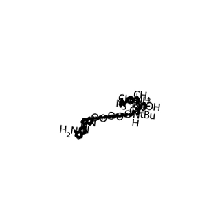 Cc1ncsc1-c1ccc([C@H](C)NC(=O)[C@@H]2C[C@@H](O)CN2C(=O)[C@@H](NC(=O)COCCOCCOCCOCCOc2cc3ccn(-c4cc5c(N)cccc5cn4)c3cn2)C(C)(C)C)cc1